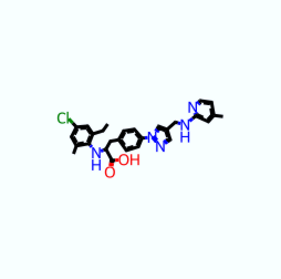 CCc1cc(Cl)cc(C)c1NC(Cc1ccc(-n2cc(CNc3cc(C)ccn3)cn2)cc1)C(=O)O